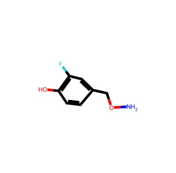 NOCc1ccc(O)c(F)c1